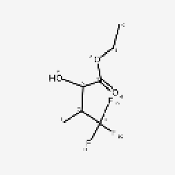 CCOC(=O)C(O)C(C)C(F)(F)F